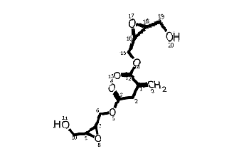 C=C(CC(=O)OCC1OC1CO)C(=O)OCC1OC1CO